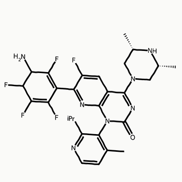 Cc1ccnc(C(C)C)c1-n1c(=O)nc(N2C[C@@H](C)N[C@@H](C)C2)c2cc(F)c(C3=C(F)C(N)C(F)C(F)=C3F)nc21